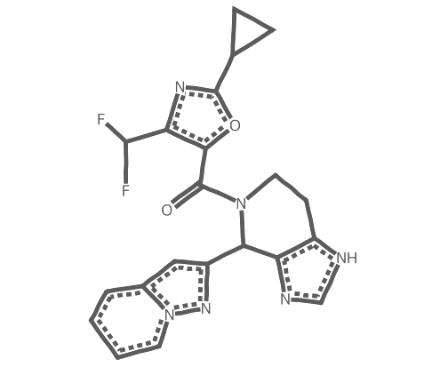 O=C(c1oc(C2CC2)nc1C(F)F)N1CCc2[nH]cnc2C1c1cc2ccccn2n1